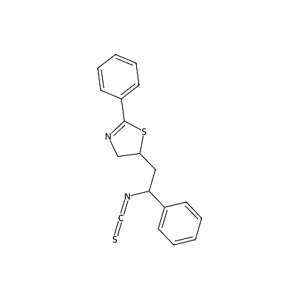 S=C=NC(CC1CN=C(c2ccccc2)S1)c1ccccc1